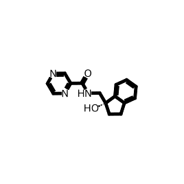 O=C(NC[C@]1(O)CCc2ccccc21)c1cnccn1